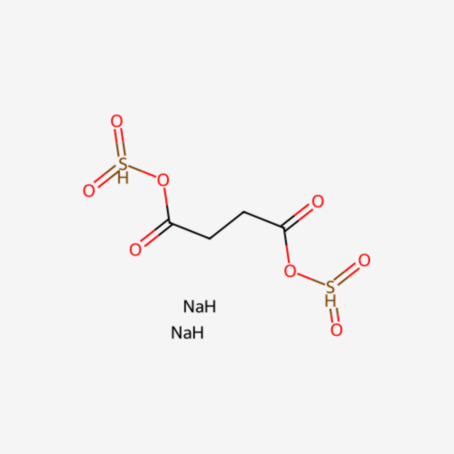 O=C(CCC(=O)O[SH](=O)=O)O[SH](=O)=O.[NaH].[NaH]